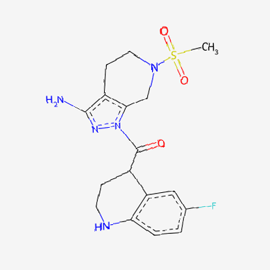 CS(=O)(=O)N1CCc2c(N)nn(C(=O)C3CCNc4ccc(F)cc43)c2C1